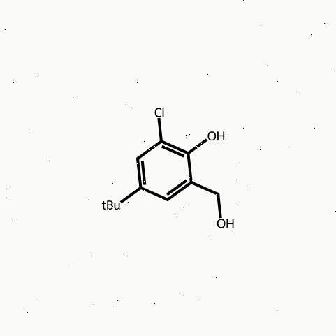 CC(C)(C)c1cc(Cl)c(O)c(CO)c1